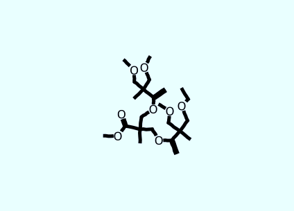 C=C(OCC(C)(COC(=C)C(C)(COC)COCC)C(=O)OC)C(C)(COC)COC